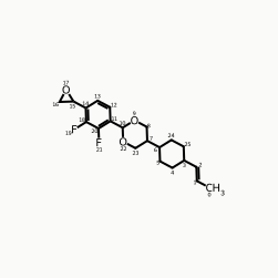 C/C=C/C1CCC(C2COC(c3ccc(C4CO4)c(F)c3F)OC2)CC1